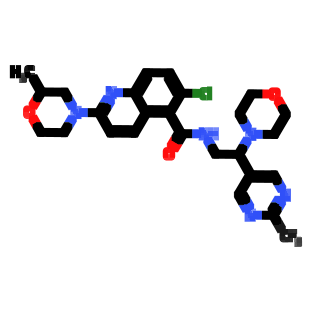 CC1CN(c2ccc3c(C(=O)NCC(c4cnc(C(F)(F)F)nc4)N4CCOCC4)c(Cl)ccc3n2)CCO1